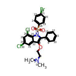 CN(C)CCOc1c(-c2ccccc2)n(S(=O)(=O)c2ccc(Br)cc2)c2c(Cl)cc(Cl)cc12